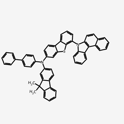 CC1(C)c2ccccc2-c2ccc(N(c3ccc(-c4ccccc4)cc3)c3ccc4c(c3)sc3c(-n5c6ccccc6c6c7ccccc7ccc65)cccc34)cc21